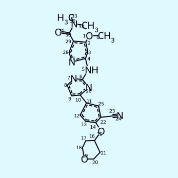 COc1cc(Nc2nccc(-c3ccc(OC4CCOCC4)c(C#N)c3)n2)ncc1C(=O)N(C)C